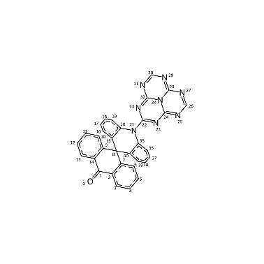 O=C1c2ccccc2C2(c3ccccc31)c1ccccc1N(C1=NC3=NC=NC4=NC=NC(=N1)N43)c1ccccc12